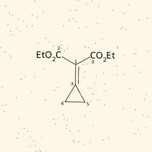 CCOC(=O)C(C(=O)OCC)=C1CC1